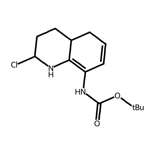 CC(C)(C)OC(=O)NC1=C2NC(Cl)CCC2CC=C1